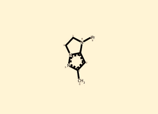 Cc1cc2n(n1)CCN2C(C)C